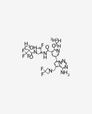 [2H]C([2H])([2H])Oc1ncc(-c2cc(CN3CC(F)(F)C3)c3c(N)ncnn23)cc1C(=O)N[C@@H]1CN(C(=O)C(C)(O)C(F)(F)F)C[C@@H]1F